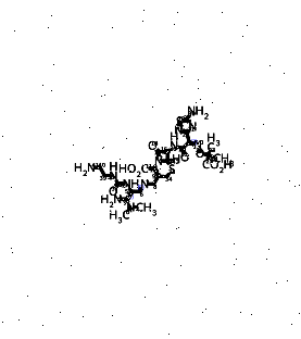 CN(C)/C(N)=C(\C=N\CC1=C(C(=O)O)N2C(=O)[C@@H](NC(=O)/C(=N\OC(C)(C)C(=O)O)c3nsc(N)n3)[C@H]2SC1)NC(=O)NCCN